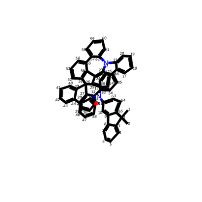 CC1(C)c2ccccc2-c2cc(Nc3cc4c5ccccc5n5c4c4c3C(c3ccccc3-c3ccccc3)(c3ccccc3-c3ccccc3)c3cccc(c3-4)-c3ccccc3-5)ccc21